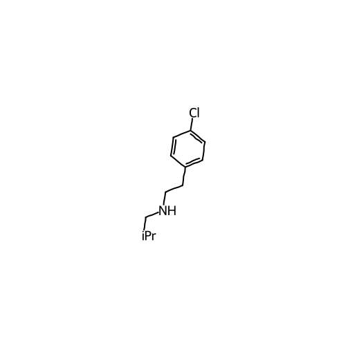 CC(C)CNCCc1ccc(Cl)cc1